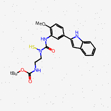 COc1ccc(-c2cc3ccccc3[nH]2)cc1NC(=O)N(S)CCNC(=O)OC(C)(C)C